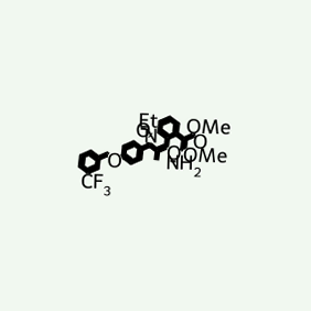 CCON=C(C(C)=C(ON)c1ccccc1C(=COC)C(=O)OC)c1ccc(OCc2cccc(C(F)(F)F)c2)cc1